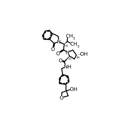 CC(C)[C@@H](C(=O)N1C[C@H](O)C[C@H]1C(=O)NCc1ccc(C2(O)COC2)cc1)N1Cc2ccccc2C1=O